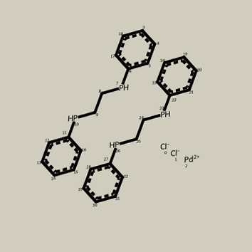 [Cl-].[Cl-].[Pd+2].c1ccc(PCCPc2ccccc2)cc1.c1ccc(PCCPc2ccccc2)cc1